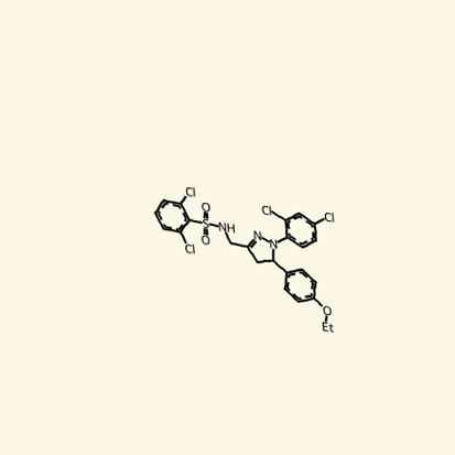 CCOc1ccc(C2CC(CNS(=O)(=O)c3c(Cl)cccc3Cl)=NN2c2ccc(Cl)cc2Cl)cc1